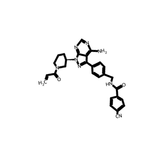 C=CC(=O)N1CCC[C@@H](n2nc(-c3ccc(CNC(=O)c4ccc(C#N)cc4)cc3)c3c(N)ncnc32)C1